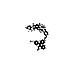 [2H]C1([2H])N(CC2CCN(CCOc3ccc(C(=C(CCCl)c4ccccc4)c4ccc(O)cc4)cc3)CC2)C([2H])([2H])C([2H])([2H])N(c2c(F)cc3c(c2F)C(=O)N(C2CCC(=O)NC2=O)C3=O)C1([2H])[2H]